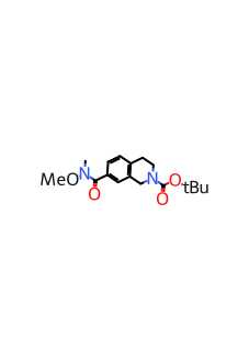 CON(C)C(=O)c1ccc2c(c1)CN(C(=O)OC(C)(C)C)CC2